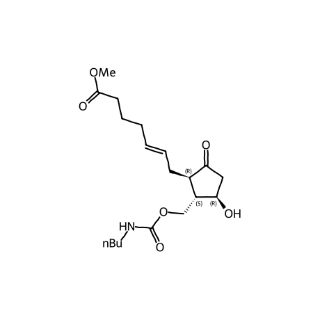 CCCCNC(=O)OC[C@H]1[C@H](O)CC(=O)[C@@H]1CC=CCCCC(=O)OC